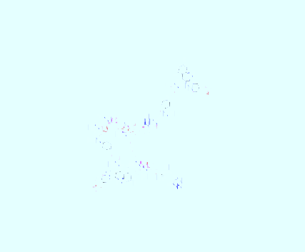 Cc1c(F)cc2nc3c(c4c2c1CC[C@@H]4NC(=O)OCc1ccc(NC(=O)CNC(=O)C(NC(=O)OCCN(CCOC(=O)NC(C(=O)N[C@@H](C)C(=O)Nc2ccc(COC(=O)N[C@H]4CCc5c(C)c(F)cc6nc7c(c4c56)Cn4c-7cc5c(c4=O)COC(=O)[C@H]5O)cc2)C(C)C)S(=O)(=O)NC(=O)OCCOCCNS(=O)(=O)NC(=O)OC[C@@H]2[C@@H]4CCc5c(nnn5C)CC[C@@H]42)C(C)C)cc1)Cn1c-3cc2c(c1=O)COC(=O)[C@H]2O